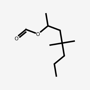 CCCC(C)(C)CC(C)O[C]=O